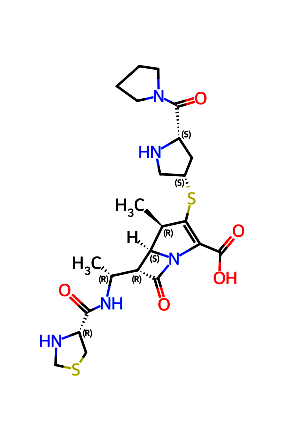 C[C@@H](NC(=O)[C@@H]1CSCN1)[C@H]1C(=O)N2C(C(=O)O)=C(S[C@@H]3CN[C@H](C(=O)N4CCCC4)C3)[C@H](C)[C@H]12